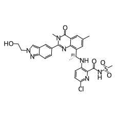 Cc1cc([C@@H](C)Nc2ccc(Cl)nc2C(=O)NS(C)(=O)=O)c2nc(-c3ccc4nn(CCO)cc4c3)n(C)c(=O)c2c1